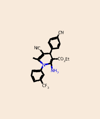 CCOC(=O)C1=C(N)N(c2cccc(C(F)(F)F)c2)C(C)=C(C#N)C1c1ccc(C#N)cc1